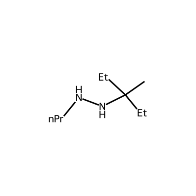 CCCNNC(C)(CC)CC